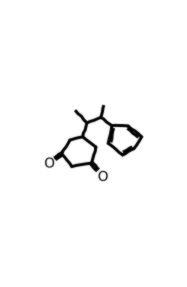 CC(c1ccccc1)C(C)C1CC(=O)CC(=O)C1